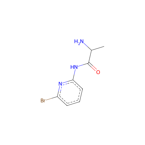 CC(N)C(=O)Nc1cccc(Br)n1